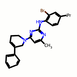 Cc1cc(N2CCC=C(c3ccccc3)C2)nc(Nc2ccc(C(C)C)cc2Br)n1